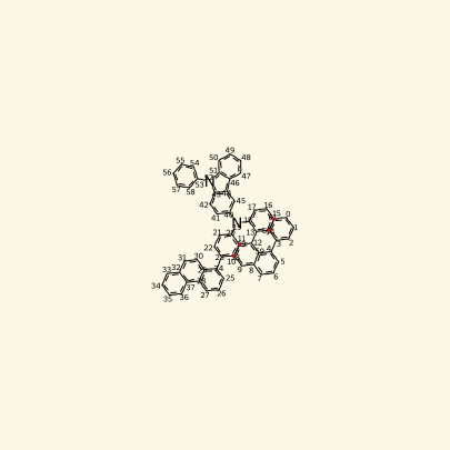 c1ccc(-c2cccc3cccc(-c4ccccc4N(c4ccc(-c5cccc6c5ccc5ccccc56)cc4)c4ccc5c(c4)c4ccccc4n5-c4ccccc4)c23)cc1